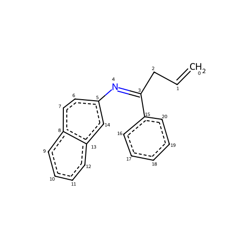 C=CCC(=Nc1ccc2ccccc2c1)c1ccccc1